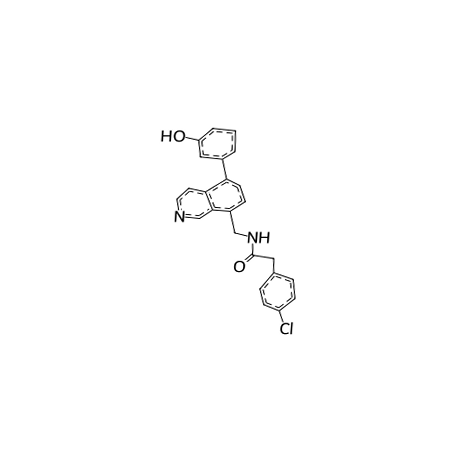 O=C(Cc1ccc(Cl)cc1)NCc1ccc(-c2cccc(O)c2)c2ccncc12